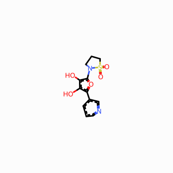 O=S1(=O)CCCN1c1oc(-c2cccnc2)c(O)c1O